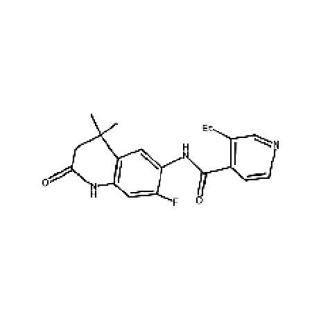 CCc1cnccc1C(=O)Nc1cc2c(cc1F)NC(=O)CC2(C)C